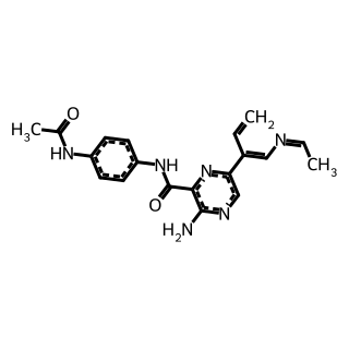 C=C/C(=C\N=C/C)c1cnc(N)c(C(=O)Nc2ccc(NC(C)=O)cc2)n1